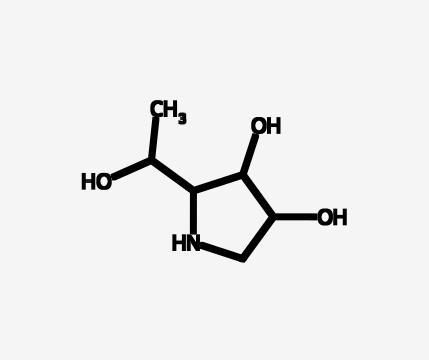 CC(O)C1NCC(O)C1O